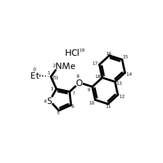 CC[C@H](NC)c1sccc1Oc1cccc2ccccc12.Cl